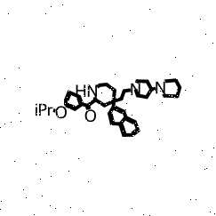 CC(C)Oc1cccc(C(=O)C2CC(CCN3CCC(N4CCCCC4)CC3)(c3ccc4ccccc4c3)CCCN2)c1